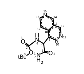 CC(C)(C)OC(=O)NC(C(N)=O)c1nncc2cnccc12